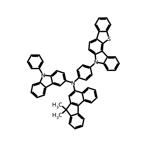 CC1(C)c2ccccc2-c2c1cc(N(c1ccc(-n3c4ccccc4c4c5sc6ccccc6c5ccc43)cc1)c1ccc3c(c1)c1ccccc1n3-c1ccccc1)c1ccccc21